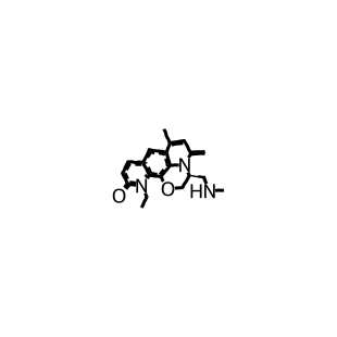 C=C1C=C(C)c2cc3ccc(=O)n(CC)c3c3c2N1[C@@H](CNC)CO3